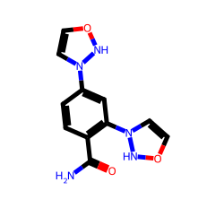 NC(=O)c1ccc(N2C=CON2)cc1N1C=CON1